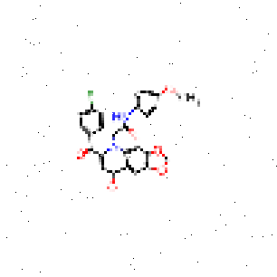 COc1ccc(NC(=O)Cn2c(C(=O)c3ccc(F)cc3)cc(=O)c3cc4c(cc32)OCO4)cc1